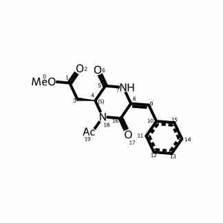 COC(=O)C[C@H]1C(=O)NC(=Cc2ccccc2)C(=O)N1C(C)=O